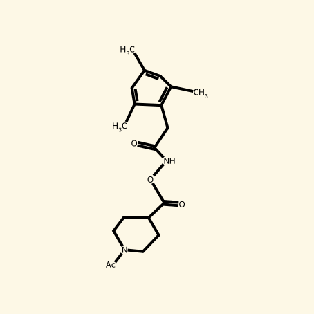 CC(=O)N1CCC(C(=O)ONC(=O)Cc2c(C)cc(C)cc2C)CC1